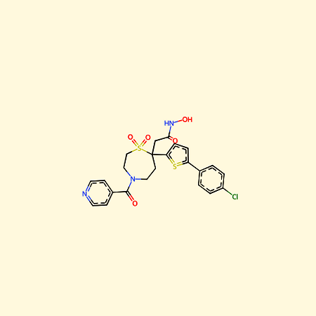 O=C(CC1(c2ccc(-c3ccc(Cl)cc3)s2)CCN(C(=O)c2ccncc2)CCS1(=O)=O)NO